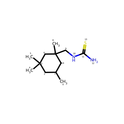 CC1CC(C)(C)CC(C)(CNC(N)=S)C1